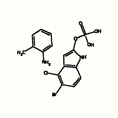 Cc1ccccc1N.O=P(O)(O)Oc1cc2c(Cl)c(Br)ccc2[nH]1